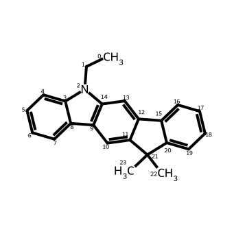 CCn1c2ccccc2c2cc3c(cc21)-c1ccccc1C3(C)C